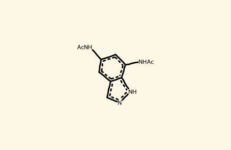 CC(=O)Nc1cc(NC(C)=O)c2[nH]ncc2c1